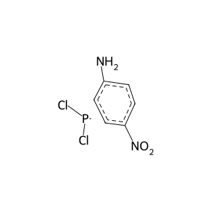 Cl[P]Cl.Nc1ccc([N+](=O)[O-])cc1